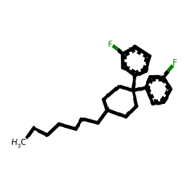 CCCCCCCC1CCC(c2cccc(F)c2)(c2cccc(F)c2)CC1